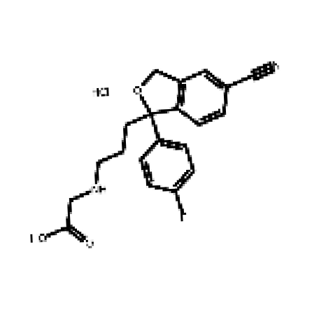 Cl.N#Cc1ccc2c(c1)COC2(CCCNCC(=O)O)c1ccc(F)cc1